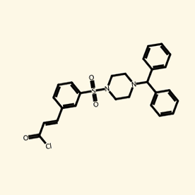 O=C(Cl)C=Cc1cccc(S(=O)(=O)N2CCN(C(c3ccccc3)c3ccccc3)CC2)c1